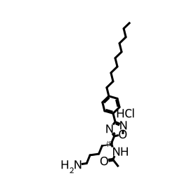 CCCCCCCCCCc1ccc(-c2noc([C@H](CCCCN)NC(C)=O)n2)cc1.Cl